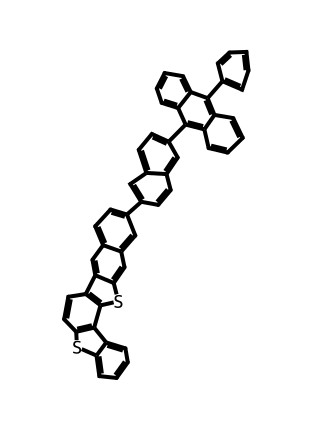 c1ccc(-c2c3ccccc3c(-c3ccc4cc(-c5ccc6cc7c(cc6c5)sc5c7ccc6sc7ccccc7c65)ccc4c3)c3ccccc23)cc1